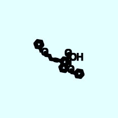 O=C(O)c1cc(C#CCCCOCc2ccccc2)c2cccc(OCc3ccccc3)c2n1